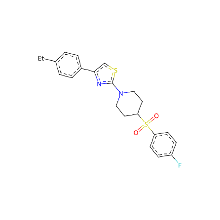 CCc1ccc(-c2csc(N3CCC(S(=O)(=O)c4ccc(F)cc4)CC3)n2)cc1